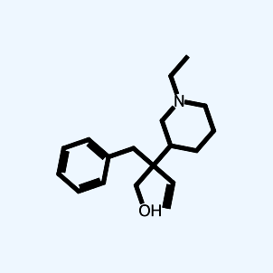 C=CC(CO)(Cc1ccccc1)C1CCCN(CC)C1